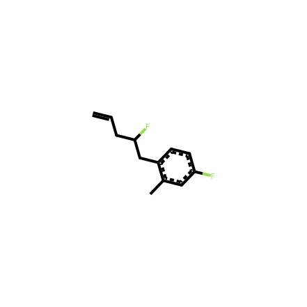 C=CCC(F)Cc1ccc(F)cc1C